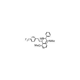 CNC(=O)[C@@H](N[C@H](CCc1ccc(C(F)(F)F)cc1)c1cccnc1OC)c1ccccc1